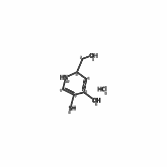 Cl.OCC1C=C(O)C(S)=CN1